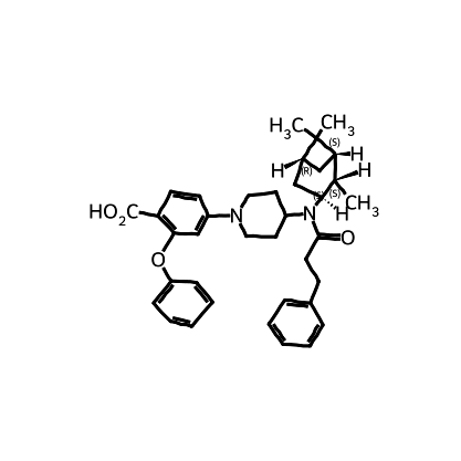 C[C@@H]1[C@@H](N(C(=O)CCc2ccccc2)C2CCN(c3ccc(C(=O)O)c(Oc4ccccc4)c3)CC2)C[C@H]2C[C@@H]1C2(C)C